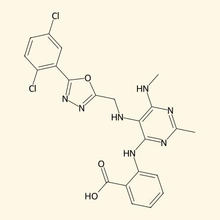 CNc1nc(C)nc(Nc2ccccc2C(=O)O)c1NCc1nnc(-c2cc(Cl)ccc2Cl)o1